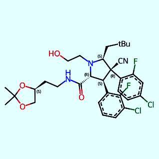 CC(C)(C)C[C@@H]1N(CCO)[C@@H](C(=O)NCC[C@H]2COC(C)(C)O2)[C@H](c2cccc(Cl)c2F)[C@@]1(C#N)c1ccc(Cl)cc1F